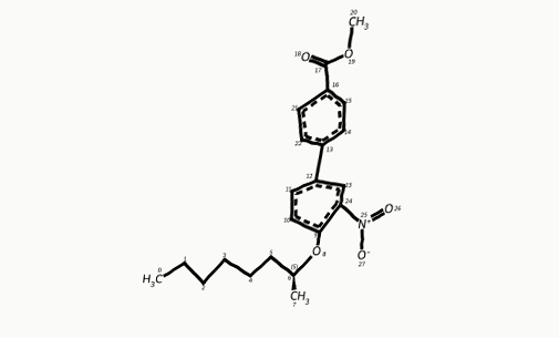 CCCCCC[C@H](C)Oc1ccc(-c2ccc(C(=O)OC)cc2)cc1[N+](=O)[O-]